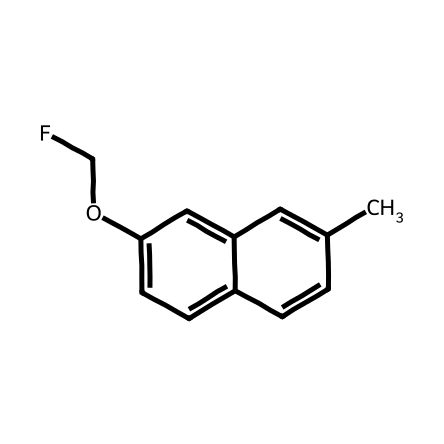 Cc1ccc2ccc(OCF)cc2c1